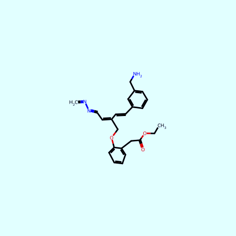 C=N/N=C/C=C(\C=C\c1cccc(CN)c1)COc1ccccc1CC(=O)OCC